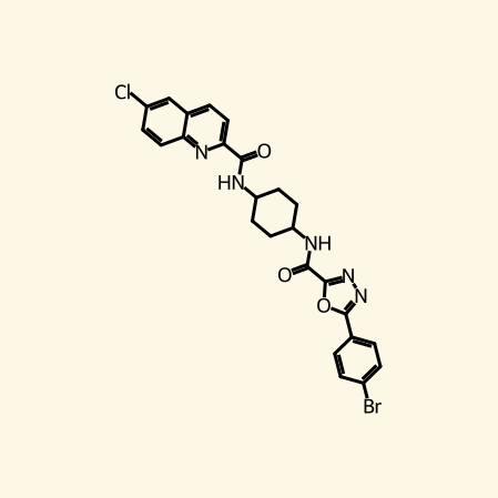 O=C(NC1CCC(NC(=O)c2nnc(-c3ccc(Br)cc3)o2)CC1)c1ccc2cc(Cl)ccc2n1